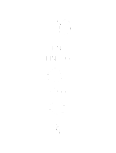 N#Cc1ccc(S(=O)(=O)c2ccc(NC(=O)NCc3cccnc3)cc2)cc1